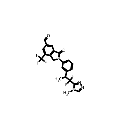 CC(c1cccc(N2Cc3c(cc(C=O)cc3C(F)(F)F)C2=O)c1)C(F)(F)c1nncn1C